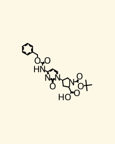 CC(C)(C)OC(=O)N1C[C@H](n2ccc(NC(=O)OCc3ccccc3)nc2=O)CC1C(=O)O